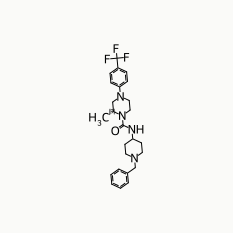 C[C@@H]1CN(c2ccc(C(F)(F)F)cc2)CCN1C(=O)NC1CCN(Cc2ccccc2)CC1